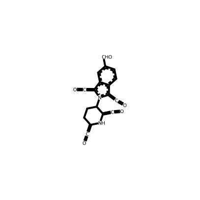 O=C=C1CCC(n2c(=C=O)c3ccc(C=O)cc3c2=C=O)C(=C=O)N1